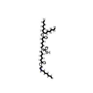 CCCCCC/C=C\COC(=O)CCCCCN(CCCCCC(=O)OC(CCCCCC)CCCCCC)C(=O)S